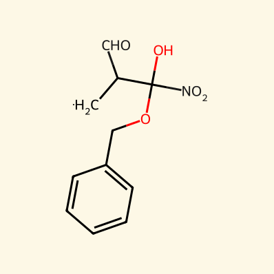 [CH2]C(C=O)C(O)(OCc1ccccc1)[N+](=O)[O-]